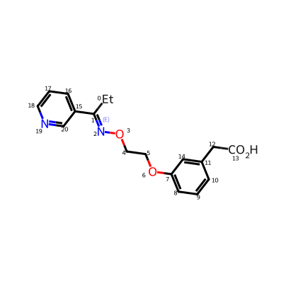 CC/C(=N\OCCOc1cccc(CC(=O)O)c1)c1cccnc1